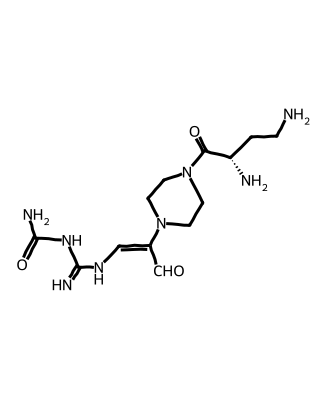 N=C(N/C=C(\C=O)N1CCN(C(=O)[C@@H](N)CCN)CC1)NC(N)=O